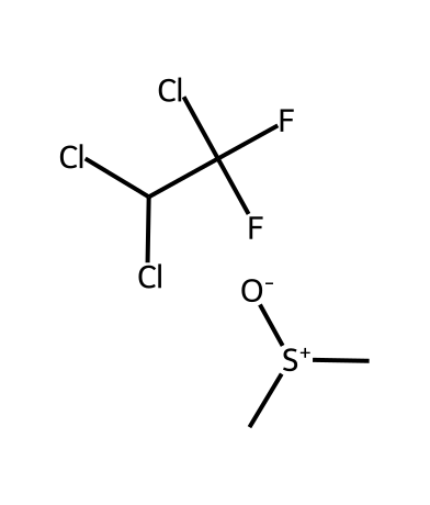 C[S+](C)[O-].FC(F)(Cl)C(Cl)Cl